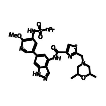 CCCS(=O)(=O)Nc1cc(-c2cc(NC(=O)c3csc(CN4CC(C)OC(C)C4)n3)c3cn[nH]c3c2)cnc1OC